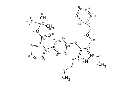 CCCCc1nn(CC)c(COCc2ccccc2)c1Cc1ccc(-c2ccccc2C(=O)OC(C)(C)C)cc1